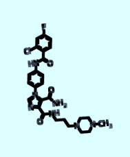 CN1CCN(CCCNC(=O)c2ncn(-c3ccc(NC(=O)c4ccc(F)cc4Cl)cc3)c2C(N)=O)CC1